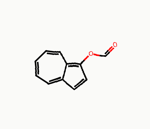 O=COc1ccc2cccccc1-2